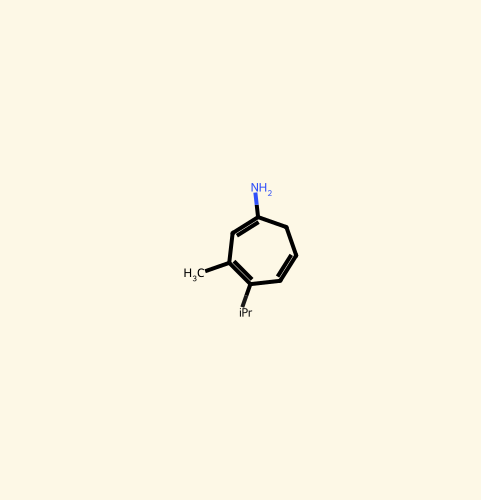 CC1=C(C(C)C)C=CCC(N)=C1